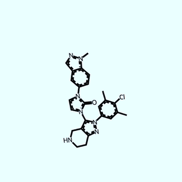 Cc1cc(-n2nc3c(c2-n2ccn(-c4ccc5c(cnn5C)c4)c2=O)CNCC3)cc(C)c1Cl